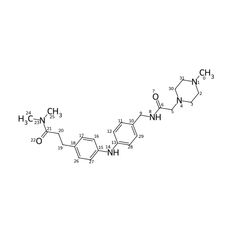 CN1CCN(CC(=O)NCc2ccc(Nc3ccc(CCC(=O)N(C)C)cc3)cc2)CC1